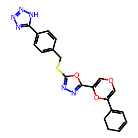 C1=CCCC(C2=COC=C(c3nnc(SCc4ccc(-c5nnn[nH]5)cc4)o3)O2)=C1